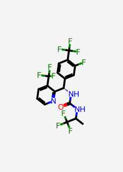 CC(NC(=O)N[C@@H](c1ccc(C(F)(F)F)c(F)c1)c1ncccc1C(F)(F)F)C(F)(F)F